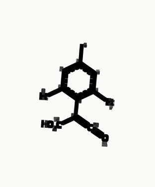 CCc1cc(C)cc(CC)c1C(=C=O)C(=O)O